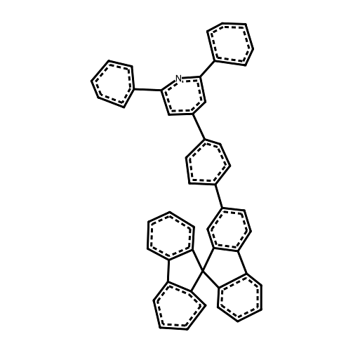 c1ccc(-c2cc(-c3ccc(-c4ccc5c(c4)C4(c6ccccc6-c6ccccc64)c4ccccc4-5)cc3)cc(-c3ccccc3)n2)cc1